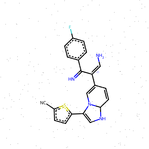 N#Cc1ccc(C2=CNC3C=CC(/C(=C/N)C(=N)c4ccc(F)cc4)=CN23)s1